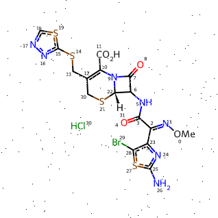 CON=C(C(=O)NC1C(=O)N2C(C(=O)O)=C(CSc3nncs3)CS[C@@H]12)c1nc(N)sc1Br.Cl